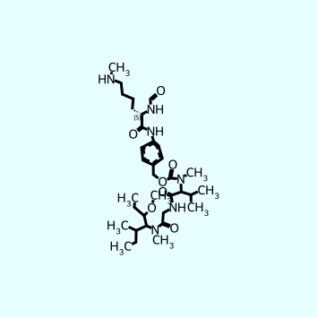 CCC(C)C(C(CC)OC)N(C)C(=O)CNC(=O)C(C(C)C)N(C)C(=O)OCc1ccc(NC(=O)[C@H](CCCCNC)NC=O)cc1